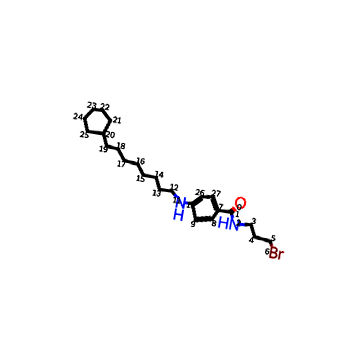 O=C(NCCCBr)c1ccc(NCCCCCCCCC2CCCCC2)cc1